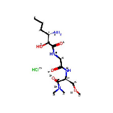 CCC[C@H](N)C(O)C(=O)NCC(=O)N[C@@H](COC)C(=O)N(C)C.Cl